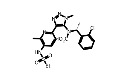 CCS(=O)(=O)Nc1ccc(-c2nnn(C)c2N(C(=O)O)[C@H](C)c2ccccc2Cl)nc1C